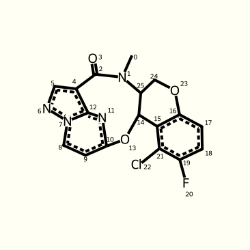 CN1C(=O)c2cnn3ccc(nc23)OC2c3c(ccc(F)c3Cl)OCC21